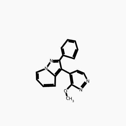 COc1nnccc1-c1c(-c2ccccc2)nn2ccccc12